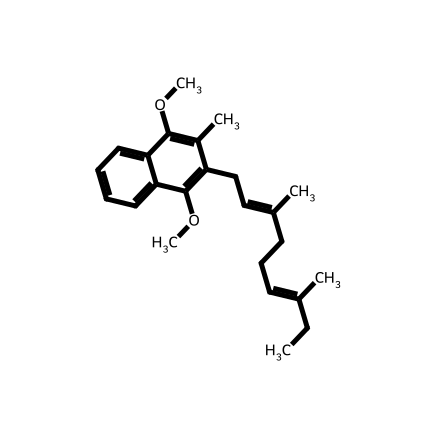 CC/C(C)=C/CC/C(C)=C/Cc1c(C)c(OC)c2ccccc2c1OC